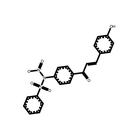 O=C(C=Cc1ccc(O)cc1)c1ccc(N([N+](=O)[O-])S(=O)(=O)c2ccccc2)cc1